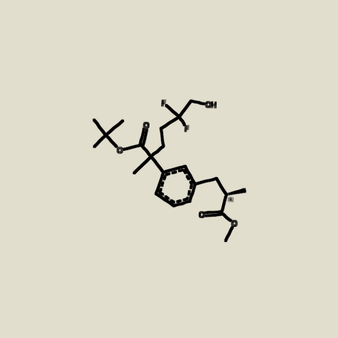 COC(=O)[C@H](C)Cc1cccc(C(C)(CCC(F)(F)CO)C(=O)OC(C)(C)C)c1